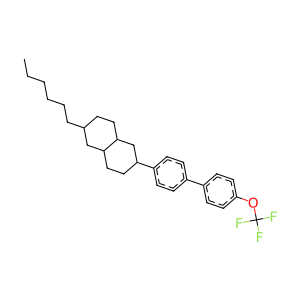 CCCCCCC1CCC2CC(c3ccc(-c4ccc(OC(F)(F)F)cc4)cc3)CCC2C1